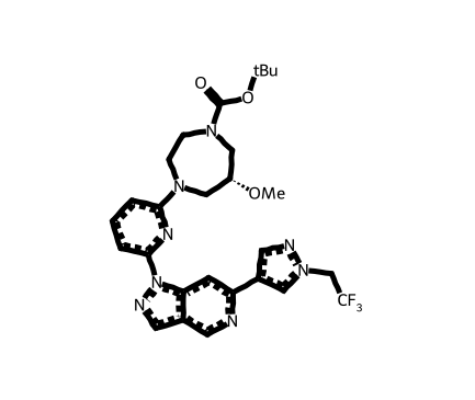 CO[C@H]1CN(C(=O)OC(C)(C)C)CCN(c2cccc(-n3ncc4cnc(-c5cnn(CC(F)(F)F)c5)cc43)n2)C1